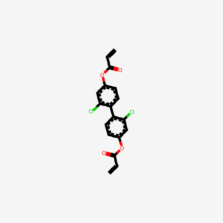 C=CC(=O)Oc1ccc(-c2ccc(OC(=O)C=C)cc2Cl)c(Cl)c1